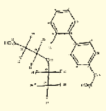 CCCCCCCCOc1ccc(-c2ccccc2I)cc1.O=S(=O)(O)C(F)(F)C(F)(F)OC(F)(F)C(F)(F)I